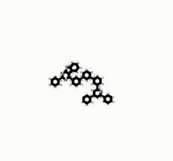 c1ccc(-c2cc(-c3ccccc3)nc(-c3cccc(-c4cccc(-c5cccc(-c6nc(-c7ccccc7)nc7sc8ccccc8c67)c5)c4)c3)c2)cc1